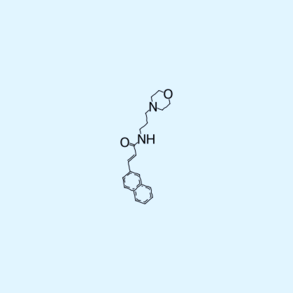 O=C(C=Cc1ccc2ccccc2c1)NCCCN1CCOCC1